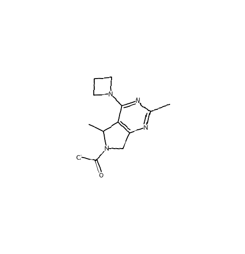 Cc1nc2c(c(N3CCC3)n1)C(C)N(C(=O)Cl)C2